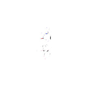 Nc1ccn([C@@H]2O[C@]3(CF)C(O)[C@]3(O)C2(F)F)c(=O)n1